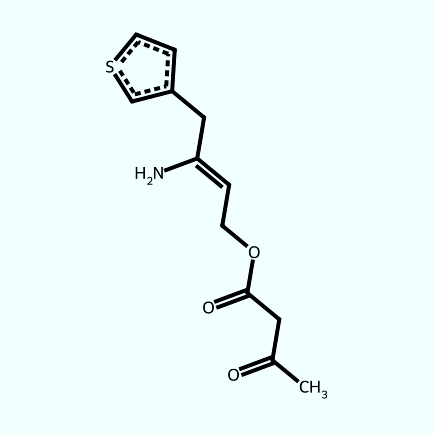 CC(=O)CC(=O)OCC=C(N)Cc1ccsc1